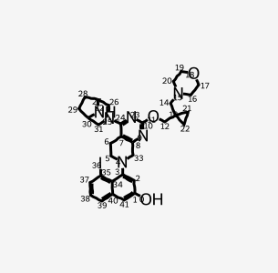 Oc1cc(N2CCc3c(nc(OCC4(CN5CCOCC5)CC4)nc3N3CC4CCC(C3)N4)C2)c2c(I)cccc2c1